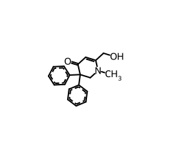 CN1CC(c2ccccc2)(c2ccccc2)C(=O)C=C1CO